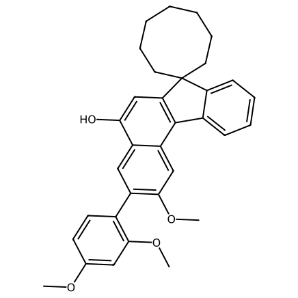 COc1ccc(-c2cc3c(O)cc4c(c3cc2OC)-c2ccccc2C42CCCCCCC2)c(OC)c1